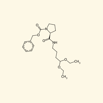 CCOC(CCCNC(=O)[C@@H]1CCCN1C(=O)OCc1ccccc1)OCC